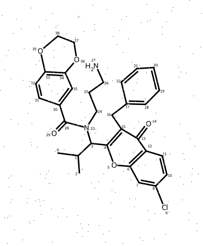 CC(C)C(c1oc2cc(Cl)ccc2c(=O)c1Cc1ccccc1)N(CCCN)C(=O)c1ccc2c(c1)OCCO2